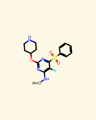 CONc1nc(OC2CCNCC2)nc(S(=O)(=O)c2ccccc2)c1F